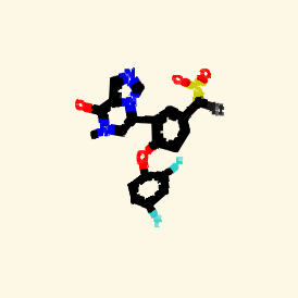 CCC(c1ccc(Oc2ccc(F)cc2F)c(-c2cn(C)c(=O)c3cncn23)c1)[SH](=O)=O